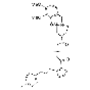 COc1ccc(CN2CCN(C(=O)CC(C)(C)CC(=O)c3sccc3CCCc3ccc(C)cc3)CC2)c(OC)c1OC